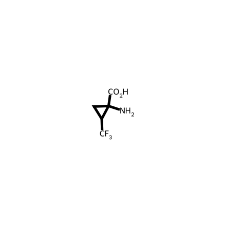 NC1(C(=O)O)CC1C(F)(F)F